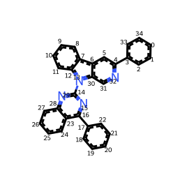 c1ccc(-c2cc3c4ccccc4n(-c4nc(-c5ccccc5)c5ccccc5n4)c3cn2)cc1